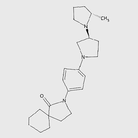 C[C@H]1CCCN1[C@H]1CCN(c2ccc(N3CCC4(CCCCC4)C3=O)cc2)C1